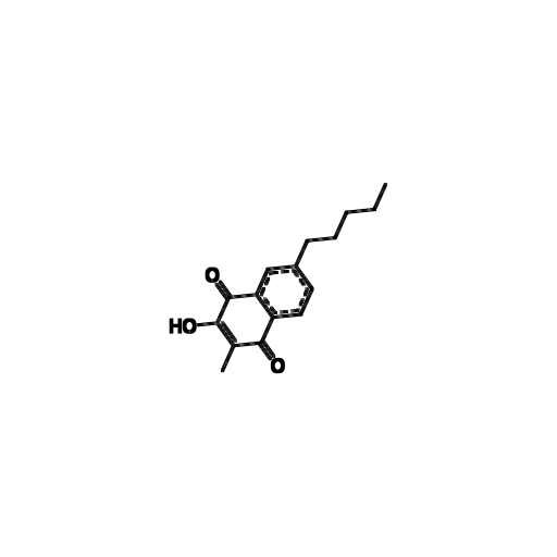 CCCCCc1ccc2c(c1)C(=O)C(O)=C(C)C2=O